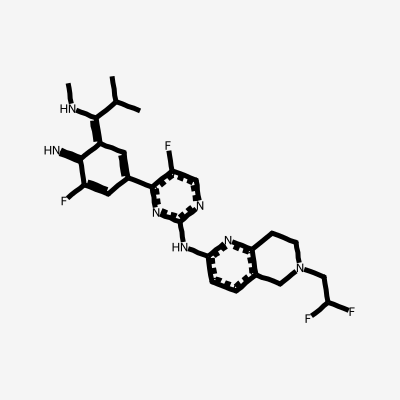 CN/C(=C1/C=C(c2nc(Nc3ccc4c(n3)CCN(CC(F)F)C4)ncc2F)C=C(F)C1=N)C(C)C